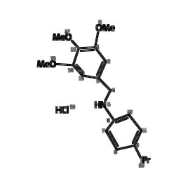 COc1cc(CNc2ccc(C(C)C)cc2)cc(OC)c1OC.Cl